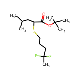 CC(C)CC(SCCCC(C)(F)F)C(=O)OC(C)(C)C